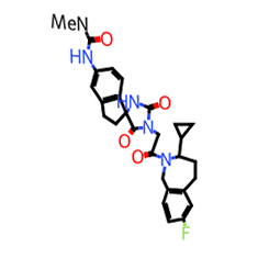 CNC(=O)Nc1ccc2c(c1)CCC21NC(=O)N(CC(=O)N2Cc3ccc(F)cc3CCC2C2CC2)C1=O